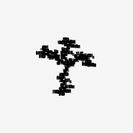 CCC(CNC(=O)CCOCC(COCCC(=O)NCC(CC)CC(C)COC1OC(CO)C(O)C(O)C1NC(C)=O)(COCCC(=O)NCC(CC)CC(CC)COC1OC(CO)C(O)C(O)C1NC(C)=O)NC(=O)CCCC(=O)NCC(C)(C)CC(C)(C)COP(=O)(O)OC(C)(C)C)CC(C)COC1OC(CO)C(O)C(O)C1NC(C)=O